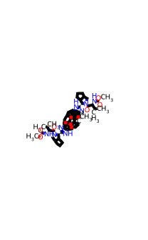 COC(=O)N[C@H](C(=O)N1CC2CCCC2[C@H]1c1nc2cc(-c3cc4ccc3CCc3ccc(c(-c5ccc6[nH]c([C@@H]7C8CCCC8CN7C(=O)[C@@H](NC(=O)OC)C(C)C)nc6c5)c3)C[C@H]4C)ccc2[nH]1)C(C)C